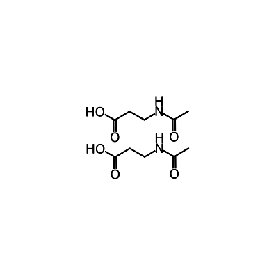 CC(=O)NCCC(=O)O.CC(=O)NCCC(=O)O